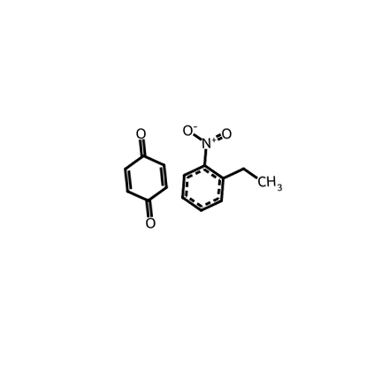 CCc1ccccc1[N+](=O)[O-].O=C1C=CC(=O)C=C1